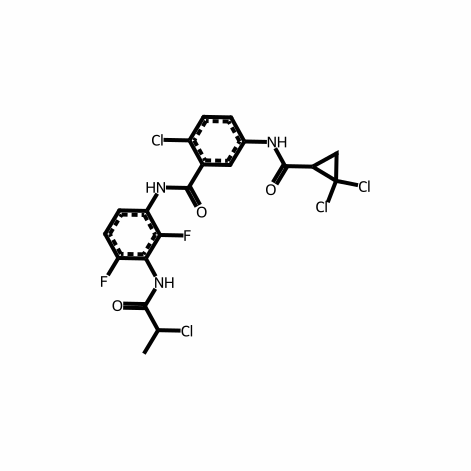 CC(Cl)C(=O)Nc1c(F)ccc(NC(=O)c2cc(NC(=O)C3CC3(Cl)Cl)ccc2Cl)c1F